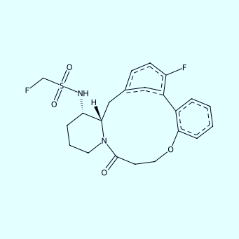 O=C1CCOc2ccccc2-c2cc(ccc2F)C[C@H]2[C@@H](NS(=O)(=O)CF)CCCN12